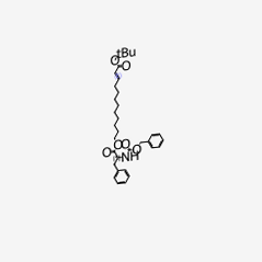 CC(C)(C)OC(=O)/C=C/CCCCCCCCCOC(=O)[C@H](Cc1ccccc1)NC(=O)OCc1ccccc1